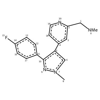 CNCc1cc(-c2cn(C)nc2-c2ccc(F)cc2)ccn1